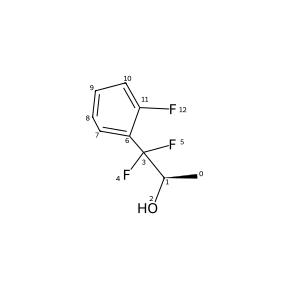 C[C@@H](O)C(F)(F)c1ccccc1F